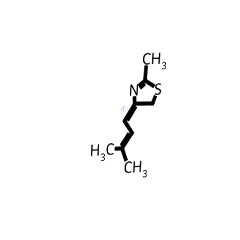 CC(C)=C/C=C1\CSC(C)=N1